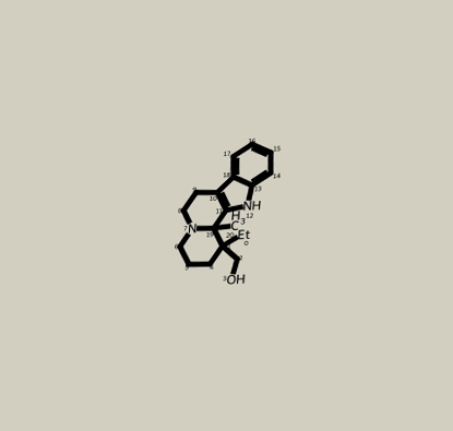 CCC1(CO)CCCN2CCc3c([nH]c4ccccc34)C21C